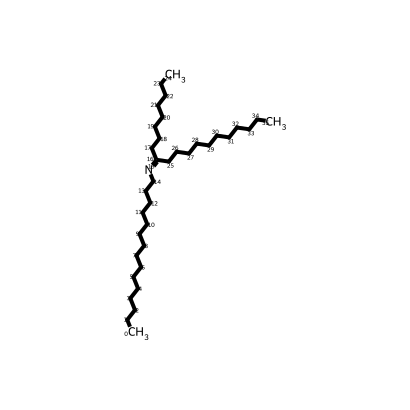 CCCCCCCCCCCCCCCN=C(CCCCCCCC)CCCCCCCCCCC